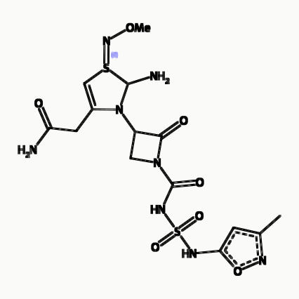 CO/N=S1/C=C(CC(N)=O)N(C2CN(C(=O)NS(=O)(=O)Nc3cc(C)no3)C2=O)C1N